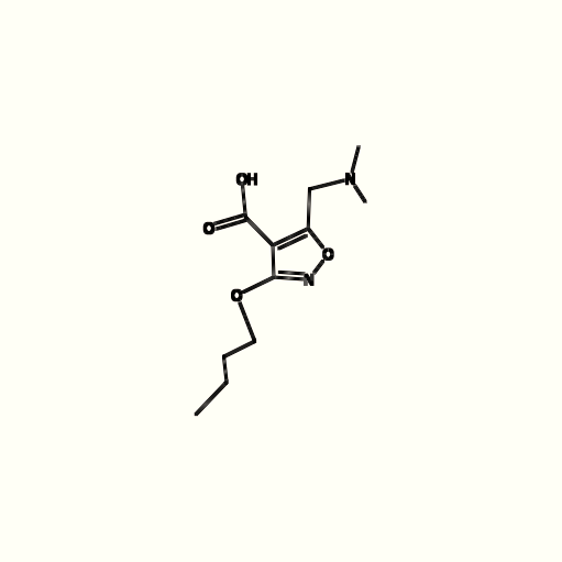 CCCCOc1noc(CN(C)C)c1C(=O)O